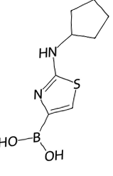 OB(O)c1csc(NC2CCCC2)n1